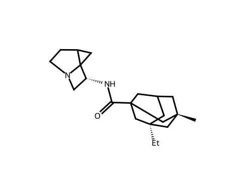 CC[C@]12CC3CC(C(=O)N[C@@H]4CN5CCC6CC645)(C[C@](C)(C3)C1)C2